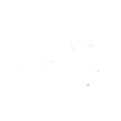 O=S(=O)(CC(F)(F)F)N1CCC(c2ncnc3cnc4[nH]ccc4c23)C1